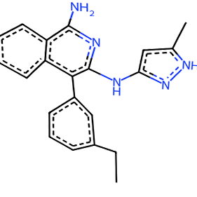 CCc1cccc(-c2c(Nc3cc(C)[nH]n3)nc(N)c3ccccc23)c1